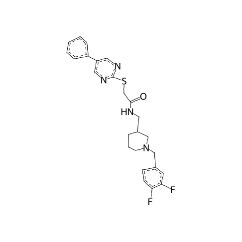 O=C(CSc1ncc(-c2ccccc2)cn1)NCC1CCCN(Cc2ccc(F)c(F)c2)C1